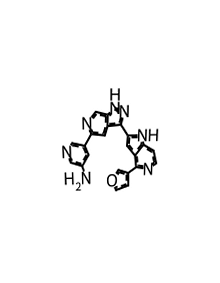 Nc1cncc(-c2cc3c(-c4cc5c(-c6ccoc6)nccc5[nH]4)n[nH]c3cn2)c1